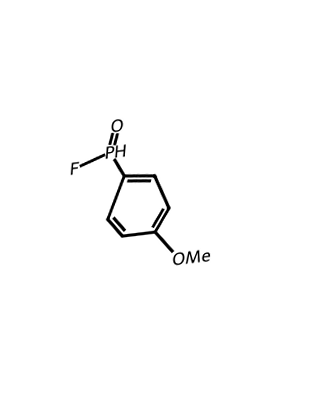 COc1ccc([PH](=O)F)cc1